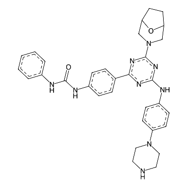 O=C(Nc1ccccc1)Nc1ccc(-c2nc(Nc3ccc(N4CCNCC4)cc3)nc(N3CC4CCC(C3)O4)n2)cc1